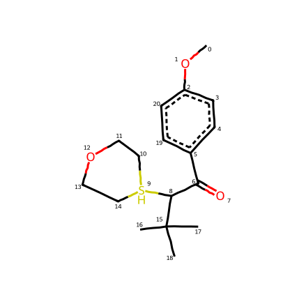 COc1ccc(C(=O)C([SH]2CCOCC2)C(C)(C)C)cc1